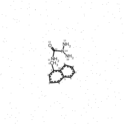 Cc1cccc2ccccc12.NC(=O)N(N)N